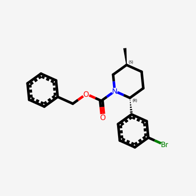 C[C@H]1CC[C@H](c2cccc(Br)c2)N(C(=O)OCc2ccccc2)C1